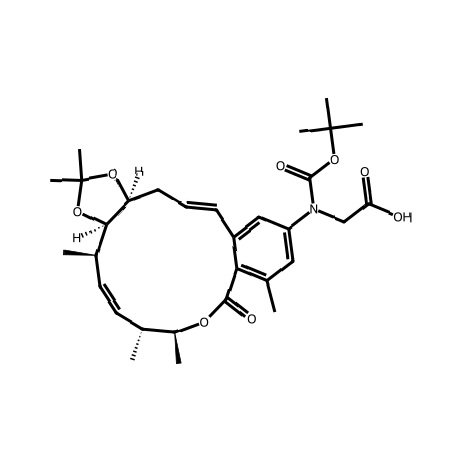 Cc1cc(N(CC(=O)O)C(=O)OC(C)(C)C)cc2c1C(=O)O[C@@H](C)[C@H](C)/C=C\[C@@H](C)[C@H]1OC(C)(C)O[C@H]1C/C=C/2